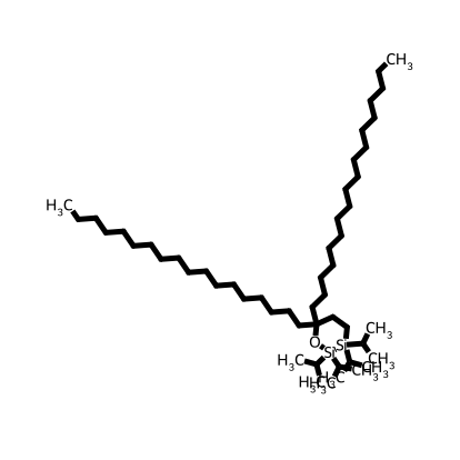 CCCCCCCCCCCCCCCCCCC1(CCCCCCCCCCCCCCCCCC)CC[Si](C(C)C)(C(C)C)[Si](C(C)C)(C(C)C)O1